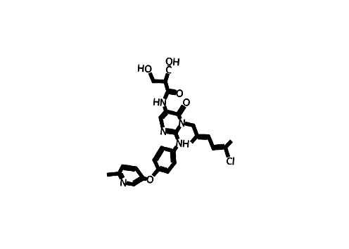 C/C(Cl)=C\C=C(/C)Cn1c(Nc2ccc(Oc3ccc(C)nc3)cc2)ncc(NC(=O)C(CO)CO)c1=O